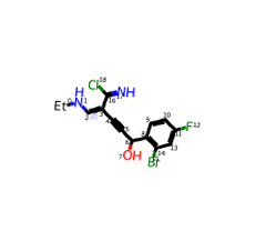 CCN/C=C(/C#CC(O)c1ccc(F)cc1Br)C(=N)Cl